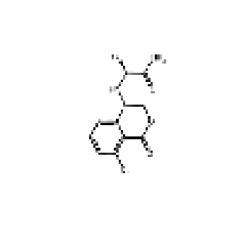 CCc1cccc2c1C(=O)OCN2N[C@H](C(N)=O)C(C)C